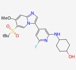 COc1cc2ncc(-c3cc(F)nc(NC4CCC(O)CC4)c3)n2cc1S(=O)(=O)C(C)(C)C